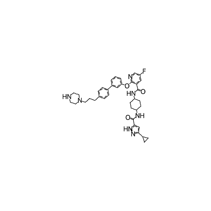 O=C(NC1CCC(NC(=O)c2cc(F)cnc2Oc2cccc(-c3ccc(CCCN4CCNCC4)cc3)c2)CC1)c1cc(C2CC2)n[nH]1